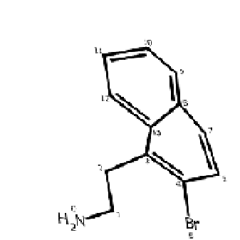 NCCc1c(Br)ccc2ccccc12